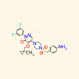 CC1(COc2c(N3CCN(S(=O)(=O)Cc4ccc(N)cc4)CC3)cnn(-c3cc(F)cc(F)c3)c2=O)CC1